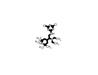 CCN(CC)C(CNc1nc(Cl)nc(Cl)n1)C1CC(C)(C)NC(C)(C)C1